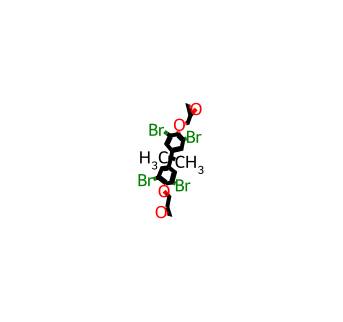 CC(C)(c1cc(Br)c(OCC2CO2)c(Br)c1)c1cc(Br)c(OCC2CO2)c(Br)c1